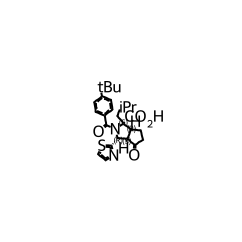 CC(C)C[C@@]1(C(=O)O)[C@@H]2CCC(=O)[C@@H]2[C@H](c2nccs2)N1C(=O)c1ccc(C(C)(C)C)cc1